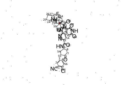 N#Cc1ccc(OC2CCC(NC(=O)c3ccc(N4CCC(CN5CC6CCC(C5)N6c5cc6c(cc5F)C(=O)N(C5CCC(=O)NC5=O)C6=O)CC4)nn3)CC2)cc1Cl